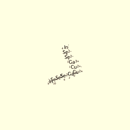 [Cu+2].[Cu+2].[Ga+3].[Ga+3].[In].[In].[Se-2].[Se-2].[Se-2].[Se-2].[Se-2]